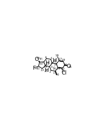 C=C1C[C@@H]2[C@H](CC[C@]3(C)C(=O)C(F)C[C@@H]23)[C@@]2(C)C(C)=CC(=O)C(Cl)=C12